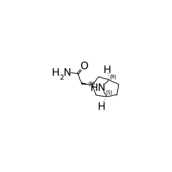 NC(=O)C[C@H]1C[C@H]2CC[C@@H](C1)N2